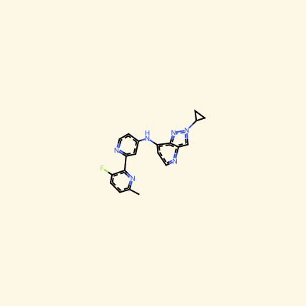 Cc1ccc(F)c(-c2cc(Nc3ccnc4cn(C5CC5)nc34)ccn2)n1